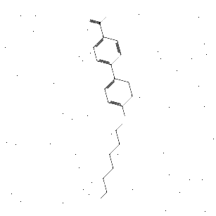 O=C(O)c1ccc(C2=CC=C(OCCCCCCO)CC2)cc1